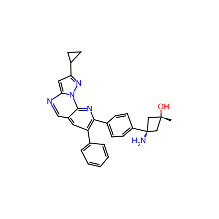 C[C@]1(O)C[C@@](N)(c2ccc(-c3nc4c(cnc5cc(C6CC6)nn54)cc3-c3ccccc3)cc2)C1